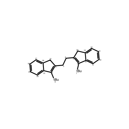 CC(C)(C)C1=C(CCC2=C(C(C)(C)C)c3ccccc3[CH]2)[CH]c2ccccc21